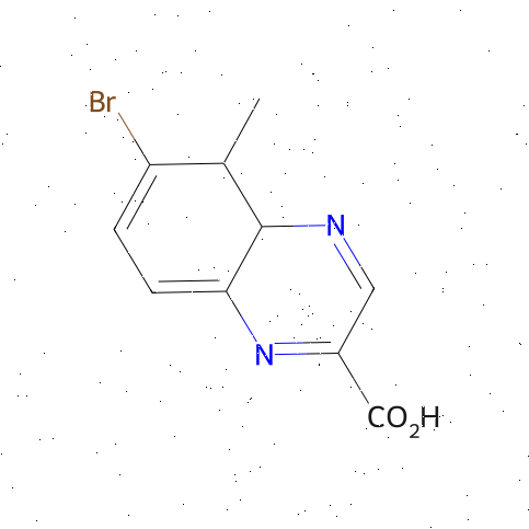 CC1C(Br)=CC=C2N=C(C(=O)O)C=NC21